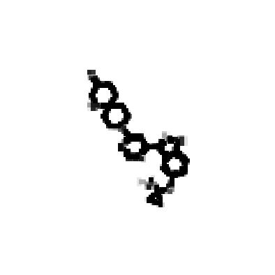 CC1(Oc2ccc3[nH]nc(-c4cc(N5CCC6(CCC(=O)CN6)CC5)ncn4)c3c2)CC1